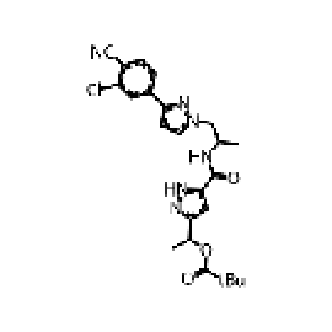 CC(Cn1ccc(-c2ccc(C#N)c(Cl)c2)n1)NC(=O)c1cc(C(C)OC(=O)C(C)(C)C)n[nH]1